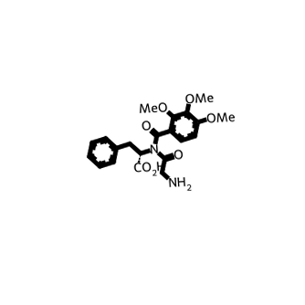 COc1ccc(C(=O)N(C(=O)CN)[C@@H](Cc2ccccc2)C(=O)O)c(OC)c1OC